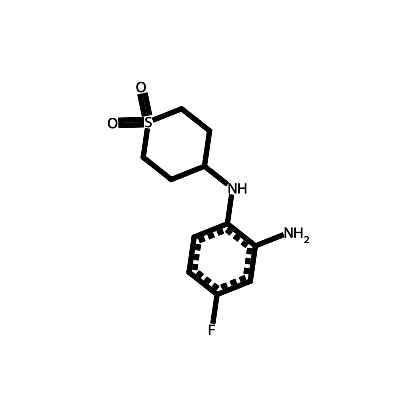 Nc1cc(F)ccc1NC1CCS(=O)(=O)CC1